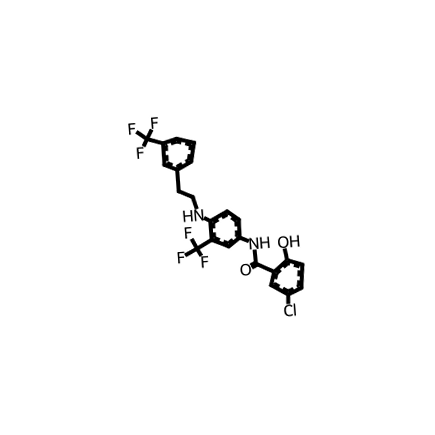 O=C(Nc1ccc(NCCc2cccc(C(F)(F)F)c2)c(C(F)(F)F)c1)c1cc(Cl)ccc1O